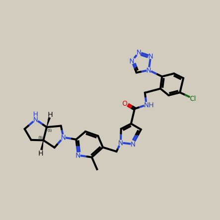 Cc1nc(N2C[C@@H]3CCN[C@@H]3C2)ccc1Cn1cc(C(=O)NCc2cc(Cl)ccc2-n2cnnn2)cn1